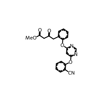 COC(=O)CC(=O)Cc1ccccc1Oc1cc(Oc2ccccc2C#N)ncn1